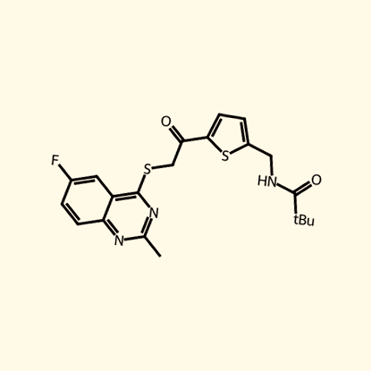 Cc1nc(SCC(=O)c2ccc(CNC(=O)C(C)(C)C)s2)c2cc(F)ccc2n1